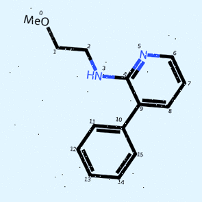 COCCNc1ncccc1-c1c[c]ccc1